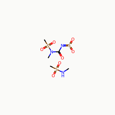 CN(C(=O)N=S(=O)=O)S(C)(=O)=O.CNS(C)(=O)=O